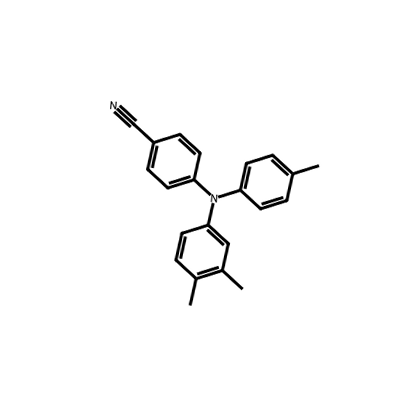 Cc1ccc(N(c2ccc(C#N)cc2)c2ccc(C)c(C)c2)cc1